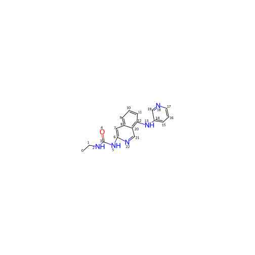 CCNC(=O)Nc1cc2cccc(Nc3cccnc3)c2cn1